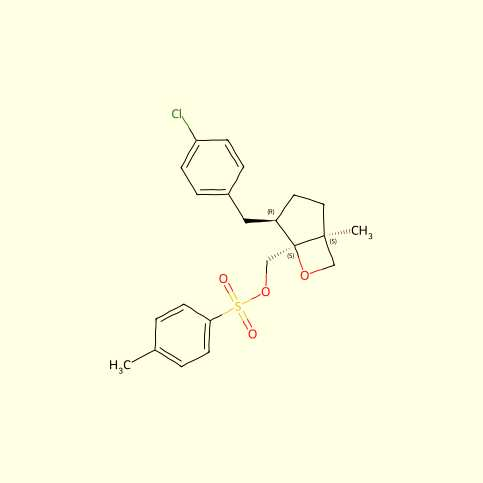 Cc1ccc(S(=O)(=O)OC[C@@]23OC[C@]2(C)CC[C@@H]3Cc2ccc(Cl)cc2)cc1